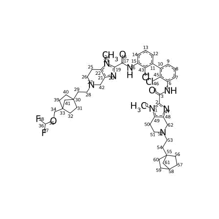 Cn1c(C(=O)Nc2cccc(-c3cccc(NC(=O)c4nc5c(n4C)CCN(CCC46CCC(COC(F)F)(CC4)C6)C5)c3Cl)c2Cl)nc2c1CCN(CCC13CCC(CC1)C3)C2